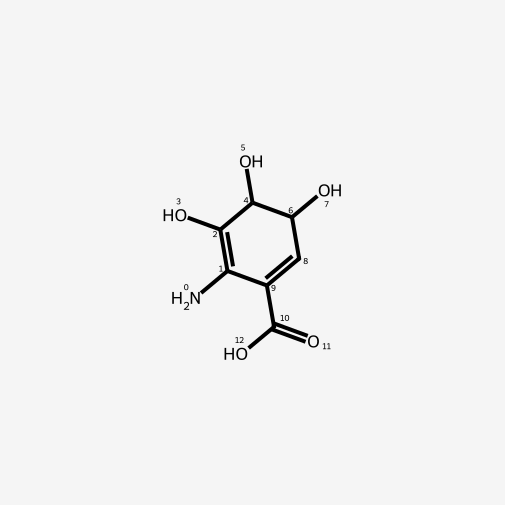 NC1=C(O)C(O)C(O)C=C1C(=O)O